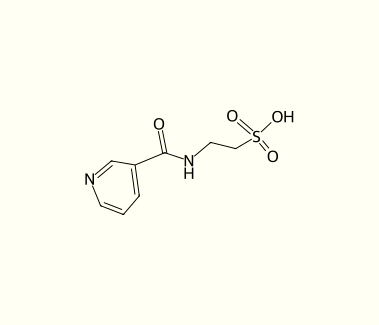 O=C(NCCS(=O)(=O)O)c1cccnc1